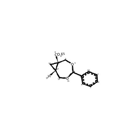 CCOC(=O)[C@@]12COC(c3ccccc3)OC[C@@H]1C2